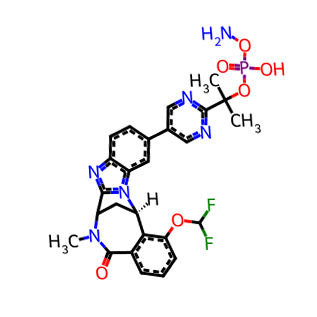 CN1C(=O)c2cccc(OC(F)F)c2[C@H]2CC1c1nc3ccc(-c4cnc(C(C)(C)OP(=O)(O)ON)nc4)cc3n12